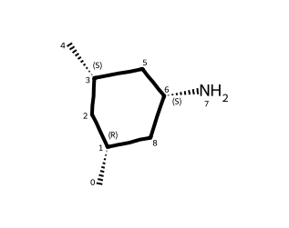 C[C@@H]1C[C@H](C)C[C@H](N)C1